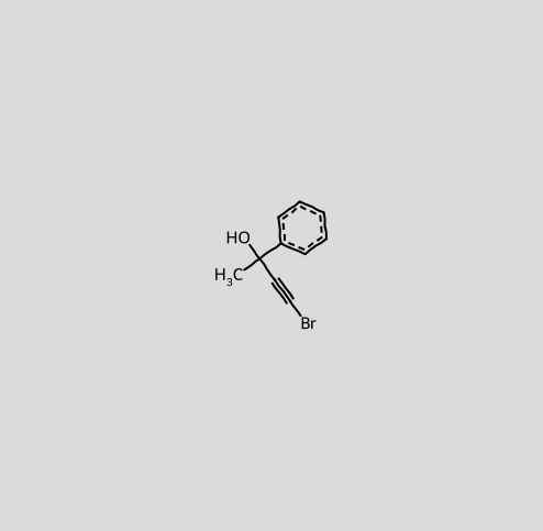 CC(O)(C#CBr)c1ccccc1